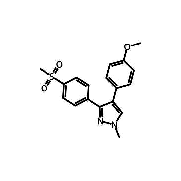 COc1ccc(-c2cn(C)nc2-c2ccc(S(C)(=O)=O)cc2)cc1